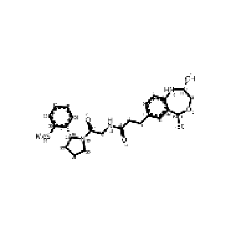 CC[C@@H]1OC[C@@H](O)Nc2ccc(CCC(=O)NCC(=O)N3CCC[C@@H]3c3ccccc3SC)cc21